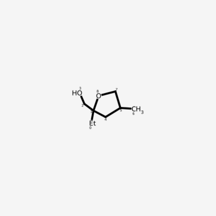 CCC1(CO)CC(C)CO1